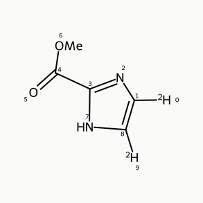 [2H]c1nc(C(=O)OC)[nH]c1[2H]